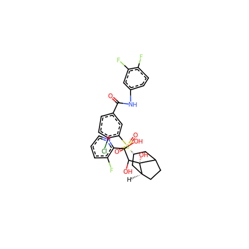 O=C(Nc1ccc(F)c(F)c1)c1ccc(Cl)c(S(=O)(=O)[C@@H]2CC3CC[C@@H](C2)[C@@]3(O)C(O)C(O)c2ncccc2F)c1